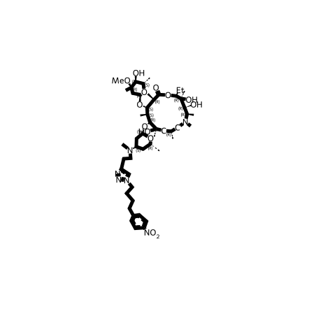 CC[C@H]1OC(=O)[C@H](C)[C@@H](O[C@H]2C[C@@](C)(OC)[C@@H](O)[C@H](C)O2)[C@H](C)[C@@H](O[C@H]2C[C@@H](N(C)CCc3cn(CCCCc4ccc([N+](=O)[O-])cc4)nn3)C[C@@H](C)O2)[C@](C)(O)C[C@@H](C)CN(C)[C@H](C)[C@@H](O)[C@]1(C)O